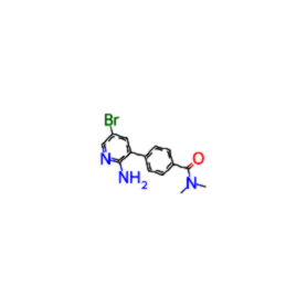 CN(C)C(=O)c1ccc(-c2cc(Br)cnc2N)cc1